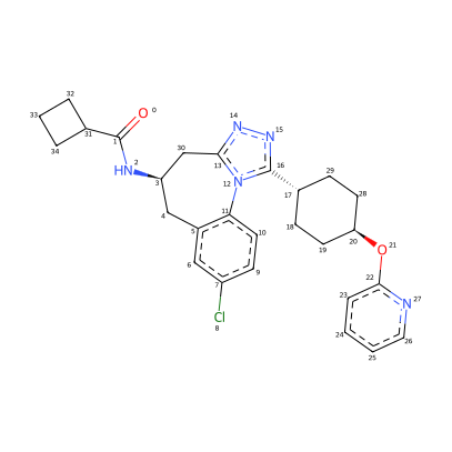 O=C(N[C@@H]1Cc2cc(Cl)ccc2-n2c(nnc2[C@H]2CC[C@H](Oc3ccccn3)CC2)C1)C1CCC1